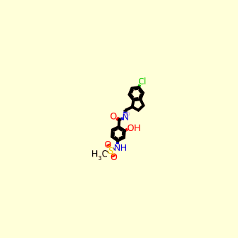 CS(=O)(=O)Nc1ccc(C(=O)/N=C/C2CCc3cc(Cl)ccc32)c(O)c1